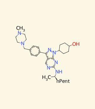 CCCCC[C@@H](C)Nc1ncc2c(-c3ccc(CN4CCN(C)CC4)cc3)nn(C3CCC(O)CC3)c2n1